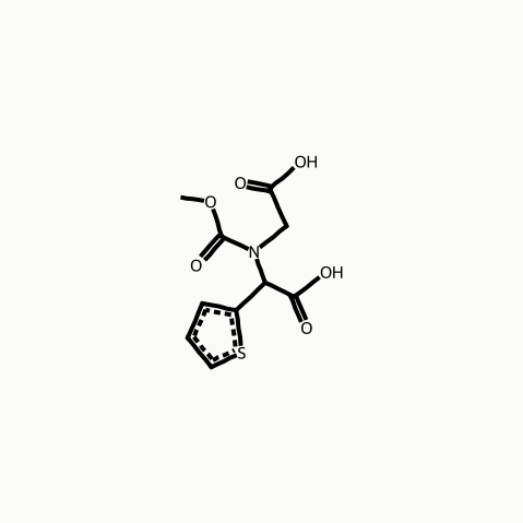 COC(=O)N(CC(=O)O)C(C(=O)O)c1cccs1